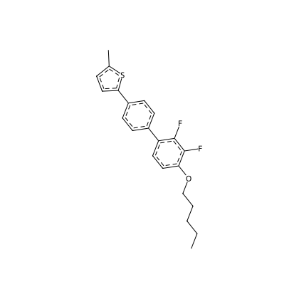 CCCCCOc1ccc(-c2ccc(-c3ccc(C)s3)cc2)c(F)c1F